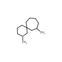 CC1CCCCC2(CCCN(C)C2)C1